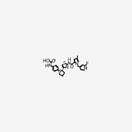 Cc1cc(C(=O)Nc2nc([C@H]3CCCN3c3ccc(NC(=O)O)cc3)cs2)n(Cc2ccnc(F)c2)c1